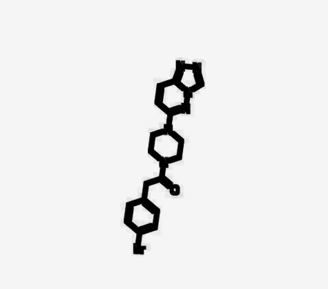 O=C(Cc1ccc(Br)cc1)N1CCN(c2ccc3nncn3n2)CC1